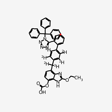 [2H]c1c([2H])c(C([2H])([2H])c2ccc(OC(=O)O)c3[nH]c(OCC)nc23)c([2H])c([2H])c1-c1ccccc1-c1nnnn1C(c1ccccc1)(c1ccccc1)c1ccccc1